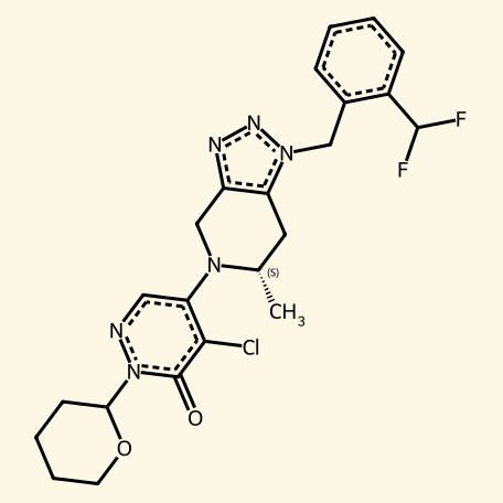 C[C@H]1Cc2c(nnn2Cc2ccccc2C(F)F)CN1c1cnn(C2CCCCO2)c(=O)c1Cl